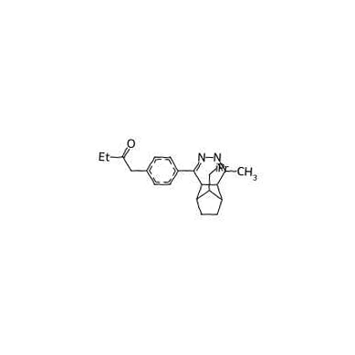 CCC(=O)Cc1ccc(C2=NN=C(C)C3C4CCC(C4CC(C)C)C23)cc1